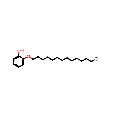 CCCCCCCCCCCCCCOc1ccccc1O